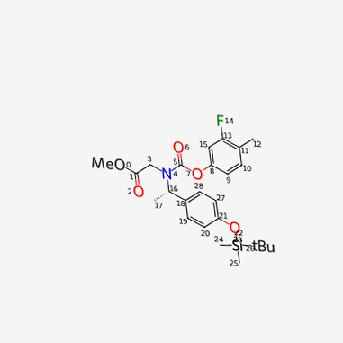 COC(=O)CN(C(=O)Oc1ccc(C)c(F)c1)[C@@H](C)c1ccc(O[Si](C)(C)C(C)(C)C)cc1